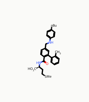 CCCCc1ccc(NCc2ccc(C(=O)N[C@@H](CCSC)C(=O)O)c(-c3ccccc3C)c2)cc1